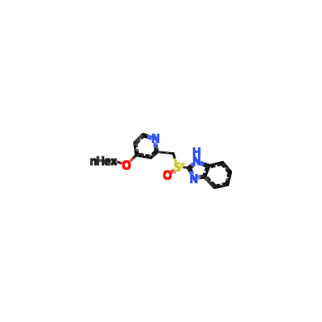 CCCCCCOc1ccnc(C[S+]([O-])c2nc3ccccc3[nH]2)c1